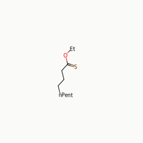 CCCCCCCCC(=S)OCC